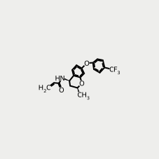 C=CC(=O)N[C@@H]1C[C@H](C)Oc2cc(Oc3ccc(C(F)(F)F)cc3)ccc21